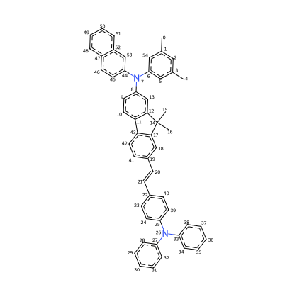 Cc1cc(C)cc(N(c2ccc3c(c2)C(C)(C)c2cc(/C=C/c4ccc(N(c5ccccc5)c5ccccc5)cc4)ccc2-3)c2ccc3ccccc3c2)c1